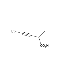 CCC#CC(C)C(=O)O